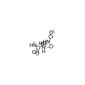 CCNc1cc(C(=O)N[C@@H](Cc2ccccc2)[C@@H](O)CNCc2ccc(OC(C)C)cc2)cc(N2CCCC2=O)c1